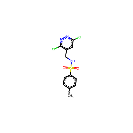 Cc1ccc(S(=O)(=O)NCc2cc(Cl)nnc2Cl)cc1